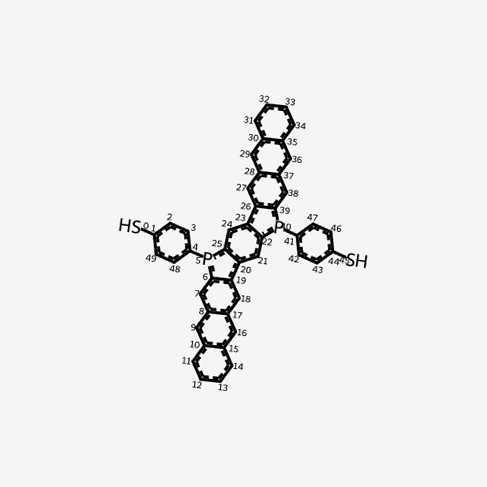 Sc1ccc(-p2c3cc4cc5ccccc5cc4cc3c3cc4c(cc32)c2cc3cc5ccccc5cc3cc2p4-c2ccc(S)cc2)cc1